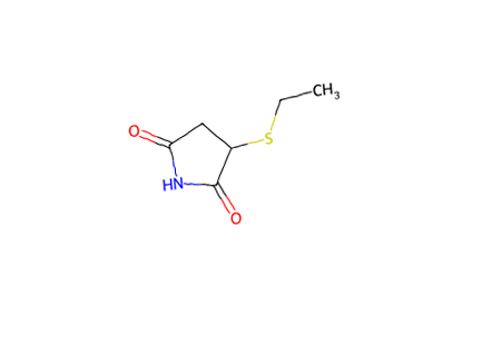 CCSC1CC(=O)NC1=O